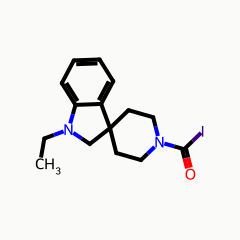 CCN1CC2(CCN(C(=O)I)CC2)c2ccccc21